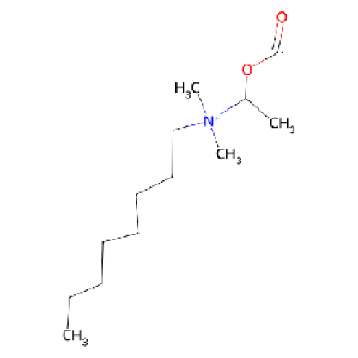 CCCCCCCC[N+](C)(C)C(C)O[C]=O